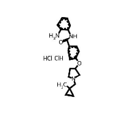 CC1(CN2CCC(Oc3ccc(C(=O)Nc4ccccc4N)cc3)C2)CC1.Cl.Cl